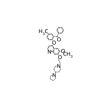 COc1cc2c(Oc3ccc(C)cc3C(=O)c3ccccc3)ccnc2cc1OCCN1CCC(N2CCCC2)CC1